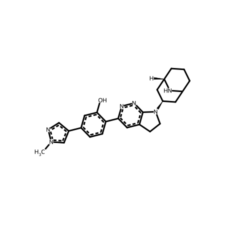 Cn1cc(-c2ccc(-c3cc4c(nn3)N([C@@H]3CC5CCC[C@@H](C3)N5)CC4)c(O)c2)cn1